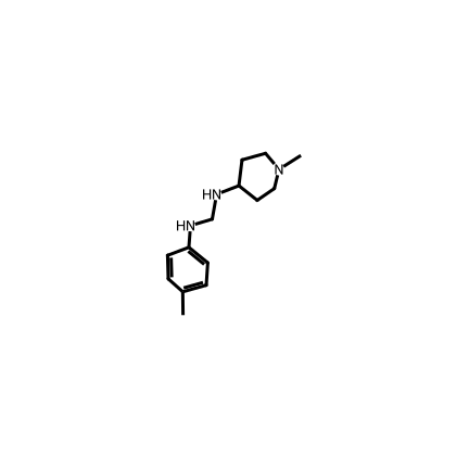 Cc1ccc(NCNC2CCN(C)CC2)cc1